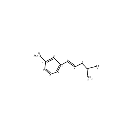 CCC(N)CC=Cc1cccc(OC)c1